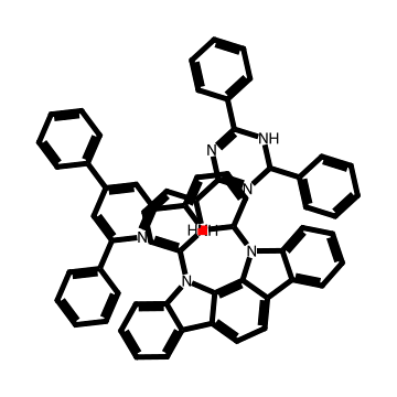 C1=CC(C2=NC(c3ccccc3)NC(c3ccccc3)=N2)NC(n2c3ccccc3c3ccc4c5ccccc5n(C5C=CC=C(c6cc(-c7ccccc7)cc(-c7ccccc7)n6)N5)c4c32)=C1